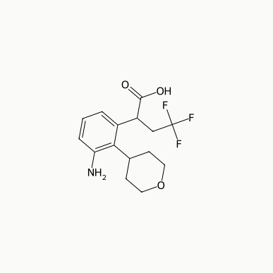 Nc1cccc(C(CC(F)(F)F)C(=O)O)c1C1CCOCC1